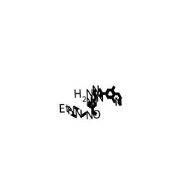 CCN1CCN(CCN(C)C(=O)c2cnn(-c3nc(-c4cc(C)c5c(c4)CN(C)CC5)cnc3N)c2)CC1